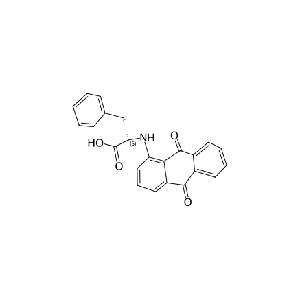 O=C1c2ccccc2C(=O)c2c(N[C@@H](Cc3ccccc3)C(=O)O)cccc21